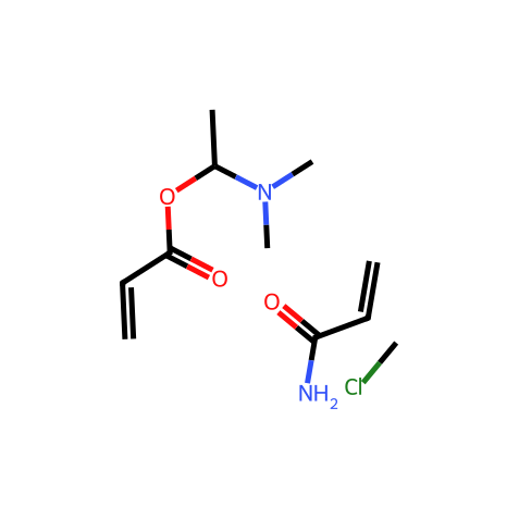 C=CC(=O)OC(C)N(C)C.C=CC(N)=O.CCl